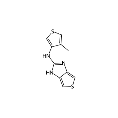 Cc1cscc1Nc1nc2cscc2[nH]1